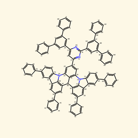 c1ccc(-c2cc(-c3ccccc3)cc(-c3cc(-c4cc5c6c(c4)-n4c7ccc(-c8ccccc8)cc7c7cc(-c8ccccc8)cc(c74)B6c4cc(-c6ccccc6)cc6c7cc(-c8ccccc8)ccc7n-5c46)nc(-c4cc(-c5ccccc5)cc(-c5ccccc5)c4)n3)c2)cc1